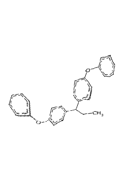 CCC(c1ccc(Oc2ccccc2)cc1)c1ccc(Oc2ccccc2)cc1